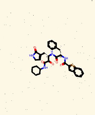 O=C(NC1CCCCC1)C(=O)[C@H](CC1=CCNC1=O)NC(=O)[C@H](Cc1ccccc1)NC(=O)c1cc2ccccc2s1